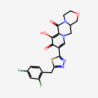 O=C1c2c(O)c(=O)c(-c3nnc(Cc4ccc(F)cc4F)s3)cn2CC2COCCN12